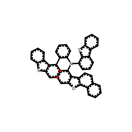 c1ccc(N(c2cccc3c2sc2ccccc23)c2cccc3oc4c5ccccc5ccc4c23)c(-c2cccc3sc4ccccc4c23)c1